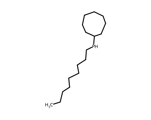 CCCCCCCCCPC1CCCCCCC1